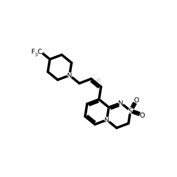 O=S1(=O)CCN2C=CC=C(/C=C\CN3CCC(C(F)(F)F)CC3)C2=N1